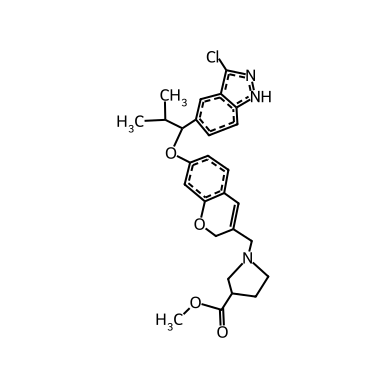 COC(=O)C1CCN(CC2=Cc3ccc(OC(c4ccc5[nH]nc(Cl)c5c4)C(C)C)cc3OC2)C1